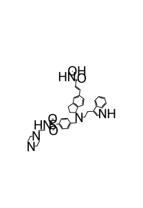 CN1CCN(CCNS(=O)(=O)c2ccc(CN(CCc3c[nH]c4ccccc34)C3CCc4cc(/C=C/C(=O)NO)ccc43)cc2)CC1